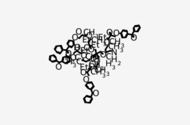 CCC(C)(CC(C)O[C@](C)(CC)C(=O)COc1ccc(C(=O)c2ccccc2)cc1)OCC(COCC(C)OC(C)(CC)C(=O)COc1ccc(C(=O)c2ccccc2)cc1)(COC(C)(C)CC(C)OC(C)(CC)C(=O)COc1ccc(C(=O)c2ccccc2)cc1)COC(C)(CN)CC(C)OC(C)(CC)C(=O)COc1ccc(C(=O)c2ccccc2)cc1